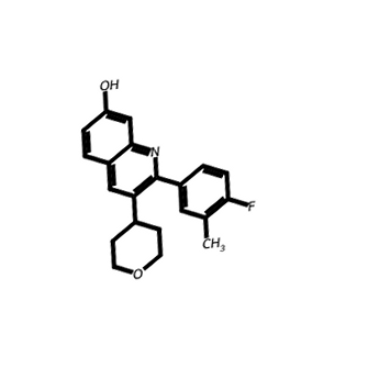 Cc1cc(-c2nc3cc(O)ccc3cc2C2CCOCC2)ccc1F